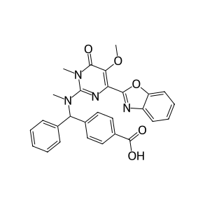 COc1c(-c2nc3ccccc3o2)nc(N(C)C(c2ccccc2)c2ccc(C(=O)O)cc2)n(C)c1=O